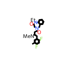 CCN1C(=O)CN(C(=O)C[C@@H](Cc2cc(C)c(F)cc2F)NC)Cc2ccccc21